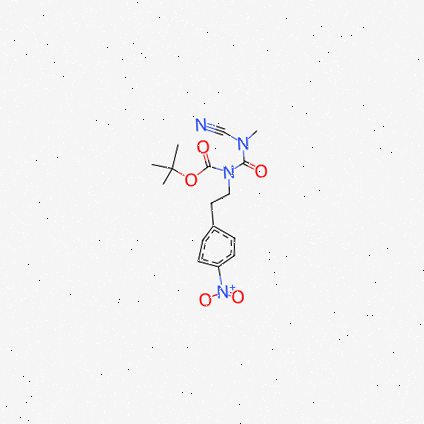 CN(C#N)C(=O)N(CCc1ccc([N+](=O)[O-])cc1)C(=O)OC(C)(C)C